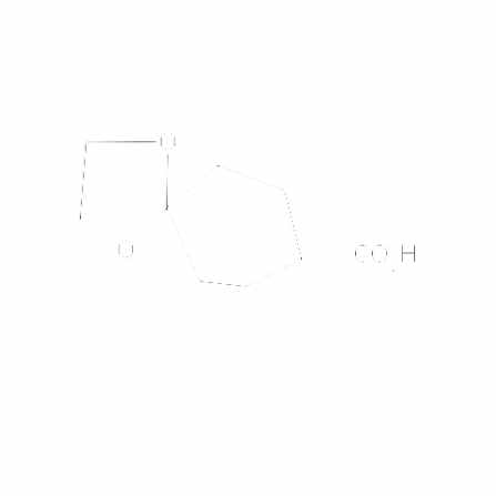 C[C@@H]1CC2(CC[C@@H]1C(=O)O)OCCO2